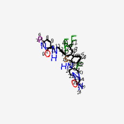 COc1nc(P(C)C)ccc1NCC#Cc1sc2c(NC3CCN(CC(=O)N(C)C)CC3F)cccc2c1CC(F)(F)F